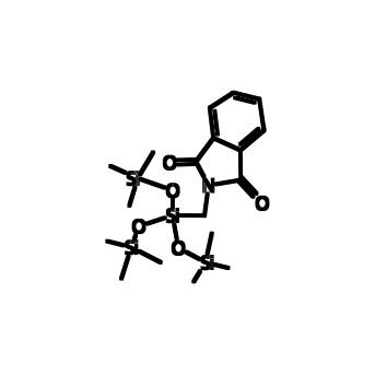 C[Si](C)(C)O[Si](CN1C(=O)c2ccccc2C1=O)(O[Si](C)(C)C)O[Si](C)(C)C